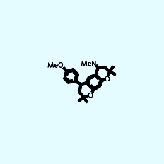 CNC1CC(C)(C)Oc2cc3c(cc21)C(c1ccc(OC)cc1)CC(C)(C)O3